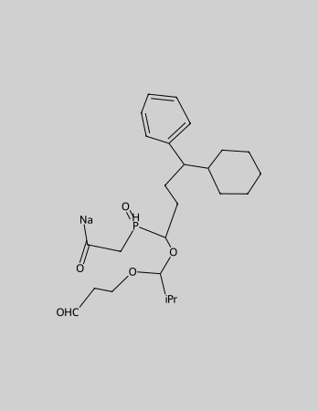 CC(C)C(OCCC=O)OC(CCC(c1ccccc1)C1CCCCC1)[PH](=O)C[C](=O)[Na]